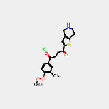 CC(=O)OOOc1ccc(C(=O)CCC(=O)c2cc3c(s2)CCNC3)cc1OC(C)=O.Cl